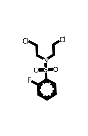 O=S(=O)(c1ccccc1F)N(CCCl)CCCl